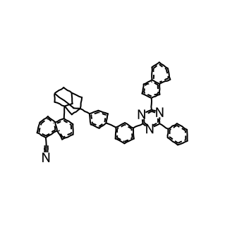 N#Cc1cccc2c(C34CC5CC(CC(c6ccc(-c7cccc(-c8nc(-c9ccccc9)nc(-c9ccc%10ccccc%10c9)n8)c7)cc6)(C5)C3)C4)cccc12